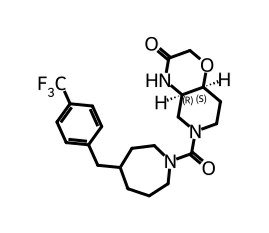 O=C1CO[C@H]2CCN(C(=O)N3CCCC(Cc4ccc(C(F)(F)F)cc4)CC3)C[C@H]2N1